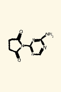 Nc1ncnc(N2C(=O)CCC2=O)n1